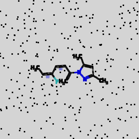 C=C(/C=C\C(F)=C/C)n1nc(C)cc1C